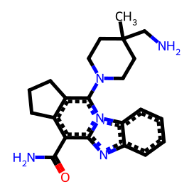 CC1(CN)CCN(c2c3c(c(C(N)=O)c4nc5ccccc5n24)CCC3)CC1